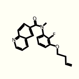 C=CCCOc1cccc(N(C)C(=O)c2ccc3ncccc3c2)c1F